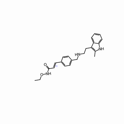 CCONC(=O)/C=C/c1ccc(CNCCc2c(C)[nH]c3ccccc23)cc1